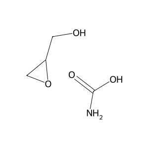 NC(=O)O.OCC1CO1